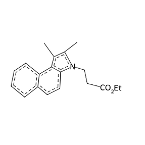 CCOC(=O)CCn1c(C)c(C)c2c3ccccc3ccc21